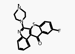 CN1CCN(c2nc3ccccc3c3c(=O)c4cc(F)ccc4sc23)CC1